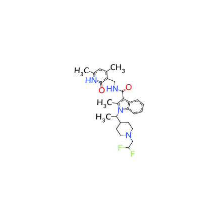 Cc1cc(C)c(CNC(=O)c2c(C)n(C(C)C3CCN(CC(F)F)CC3)c3ccccc23)c(=O)[nH]1